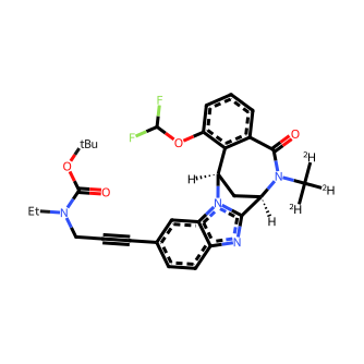 [2H]C([2H])([2H])N1C(=O)c2cccc(OC(F)F)c2[C@H]2C[C@@H]1c1nc3ccc(C#CCN(CC)C(=O)OC(C)(C)C)cc3n12